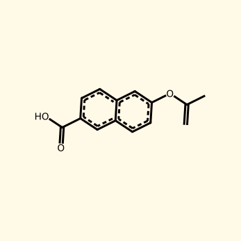 C=C(C)Oc1ccc2cc(C(=O)O)ccc2c1